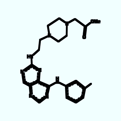 COC(=O)CN1CCN(CCNc2ncc3ncnc(Nc4cccc(C)c4)c3n2)CC1